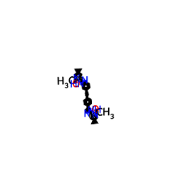 CC(=O)N1CC2(CC2)C[C@H]1c1ncc(-c2ccc(C#Cc3ccc4nc([C@@H]5CC6(CC6)CN5C(C)=O)[nH]c4c3)cc2)[nH]1